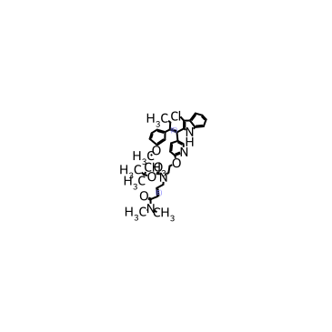 CC/C(=C(/c1ccc(OCCN(C/C=C/C(=O)N(C)C)C(=O)OC(C)(C)C)nc1)c1[nH]c2ccccc2c1Cl)c1cccc(OC)c1